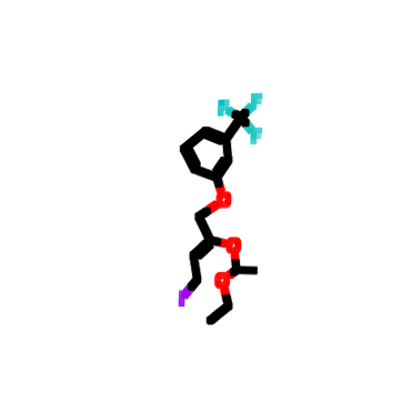 CCOC(C)OC(=CCI)COc1cccc(C(F)(F)F)c1